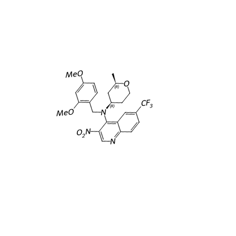 COc1ccc(CN(c2c([N+](=O)[O-])cnc3ccc(C(F)(F)F)cc23)[C@@H]2CCO[C@H](C)C2)c(OC)c1